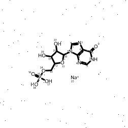 O=c1[nH]cnc2c1ncn2C1OC(COP(=O)(O)O)C(O)C1O.[Na+]